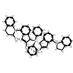 CC1=Cc2c(cccc2N2c3ccccc3CCC2C)C1S(c1ccccc1)(c1ccccc1)[C@H]1C(C)=Cc2c1cccc2N1CCc2ccccc21